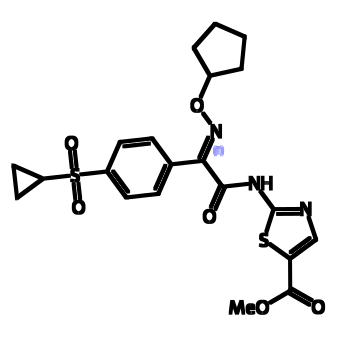 COC(=O)c1cnc(NC(=O)/C(=N/OC2CCCC2)c2ccc(S(=O)(=O)C3CC3)cc2)s1